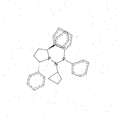 c1ccc([C@@H]2CC[C@@H](c3ccccc3)P2N(C2CCC2)P(c2ccccc2)c2ccccc2)cc1